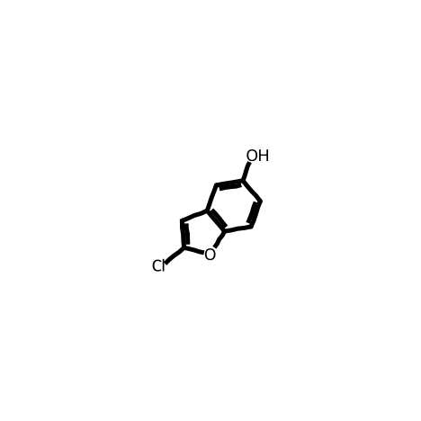 Oc1ccc2oc(Cl)cc2c1